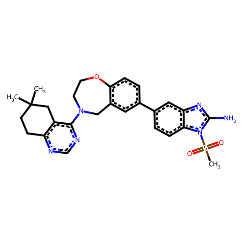 CC1(C)CCc2ncnc(N3CCOc4ccc(-c5ccc6c(c5)nc(N)n6S(C)(=O)=O)cc4C3)c2C1